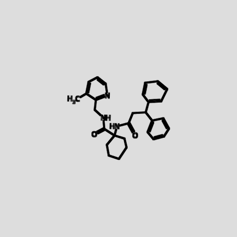 Cc1cccnc1CNC(=O)C1(NC(=O)CC(c2ccccc2)c2ccccc2)CCCCC1